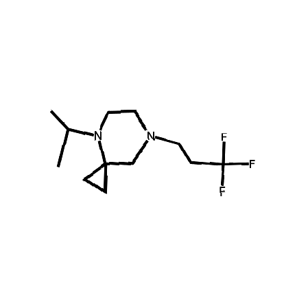 CC(C)N1CCN(CCC(F)(F)F)CC12CC2